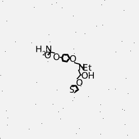 CCN(CCOc1ccc(OCC(N)=O)cc1)CC(O)COc1ccsc1